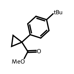 COC(=O)C1(c2ccc(C(C)(C)C)cc2)CC1